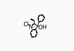 C=C/C(=N\Cl)C(O)(c1ccccc1)c1ccccc1